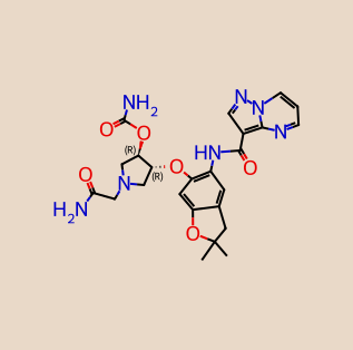 CC1(C)Cc2cc(NC(=O)c3cnn4cccnc34)c(O[C@@H]3CN(CC(N)=O)C[C@H]3OC(N)=O)cc2O1